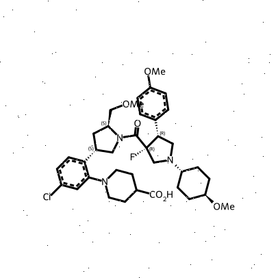 COC[C@@H]1C[C@@H](c2ccc(Cl)cc2N2CCC(C(=O)O)CC2)CN1C(=O)[C@]1(F)CN([C@H]2CC[C@H](OC)CC2)C[C@H]1c1ccc(OC)cc1